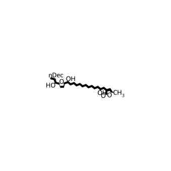 CCCCCCCCCCCC[C@H](O)[C@H]1CC[C@H]([C@H](O)CCCCCCCCCC[C@H](O)CC2=C[C@H](C)OC2=O)O1